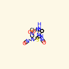 CS(=O)(=O)N1CCC(N(CCN2CCOCC2)Cc2cc3nc(-c4cccc5[nH]ncc45)nc(N4CCOCC4)c3s2)CC1